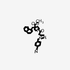 COC(=O)C1(Cc2cccc3ccccc23)CCN(C(=O)Cc2cncn2Cc2ccc(C#N)cc2)CC1